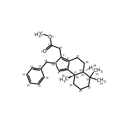 COC(=O)Cc1c2c(cn1Cc1ccccc1)[C@@]1(C)CCCC(C)(C)[C@@H]1CC2